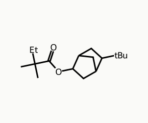 CCC(C)(C)C(=O)OC1CC2CC1CC2C(C)(C)C